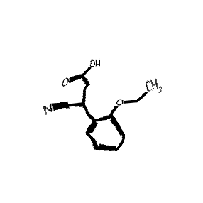 CCOc1ccccc1C(C#N)CC(=O)O